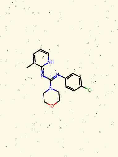 Cc1ccc[nH]c1=NC(=Nc1ccc(Cl)cc1)N1CCOCC1